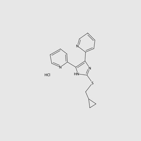 Cl.c1ccc(-c2nc(SCC3CC3)[nH]c2-c2ccccn2)nc1